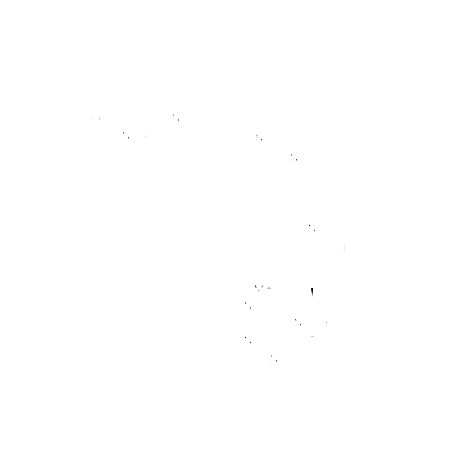 COc1cc(N2CCC(CN3CCN(c4ccc5c(c4)CN([C@H]4CCC(=O)NC4=O)C5=O)CC3)CC2)c(F)cc1[C@@H]1N(c2cncn3ccnc23)C(=O)C12CCCC2